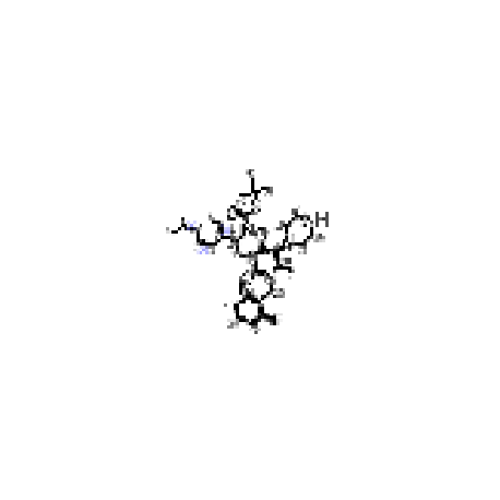 C\C=C/C=C\C(=C/C)[C@H](Cn1c(=O)c(N2CCNCC2)c(C)n(Cc2c(F)cccc2F)c1=O)NC(=O)OC(C)(C)C